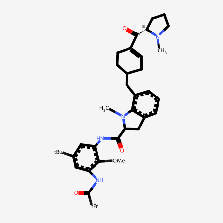 CCCC(=O)Nc1cc(C(C)(C)C)cc(NC(=O)C2Cc3cccc(CC4CC=C(C(=O)[C@@H]5CCCN5C)CC4)c3N2C)c1OC